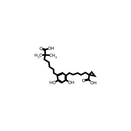 CC(C)(CCCCCc1cc(CCCCCC2(C(=O)O)CC2)c(O)cc1O)C(=O)O